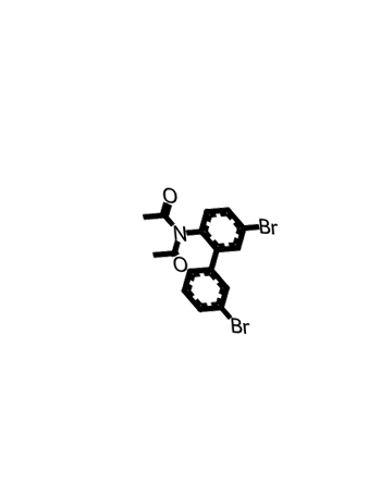 CC(=O)N(C(C)=O)c1ccc(Br)cc1-c1cccc(Br)c1